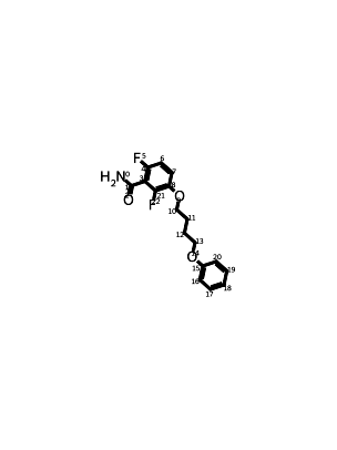 NC(=O)c1c(F)ccc(OCCCCOc2ccccc2)c1F